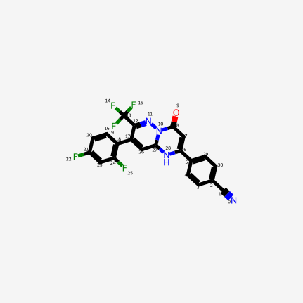 N#Cc1ccc(C2=CC(=O)N3N=C(C(F)(F)F)C(c4ccc(F)cc4F)=CC3N2)cc1